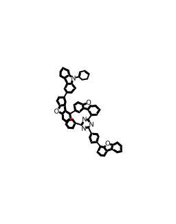 C1=CCCC(n2c3ccccc3c3cc(-c4ccc5oc6cccc(-c7ccc8oc9cccc(-c%10nc(-c%11ccccc%11)nc(-c%11ccc(-c%12cccc%13c%12oc%12ccccc%12%13)cc%11)n%10)c9c8c7)c6c5c4)ccc32)=C1